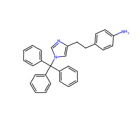 Nc1ccc(CCc2cn(C(c3ccccc3)(c3ccccc3)c3ccccc3)cn2)cc1